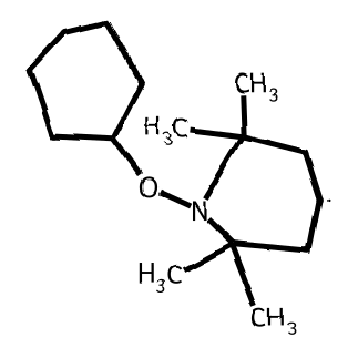 CC1(C)C[CH]CC(C)(C)N1OC1CCCCC1